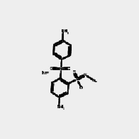 CC(=O)N=S(=O)([O-])c1cc(N)ccc1S(=O)(=O)c1ccc(N)cc1.[Na+]